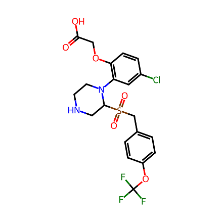 O=C(O)COc1ccc(Cl)cc1N1CCNCC1S(=O)(=O)Cc1ccc(OC(F)(F)F)cc1